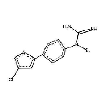 CCN(C(=N)N)c1ccc(-c2cc(Cl)cs2)cc1